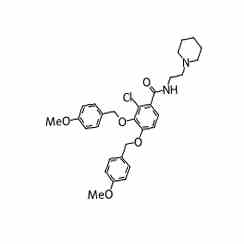 COc1ccc(COc2ccc(C(=O)NCCN3CCCCC3)c(Cl)c2OCc2ccc(OC)cc2)cc1